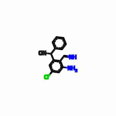 N=Cc1c(N)cc(Cl)cc1C(N=O)c1ccccc1